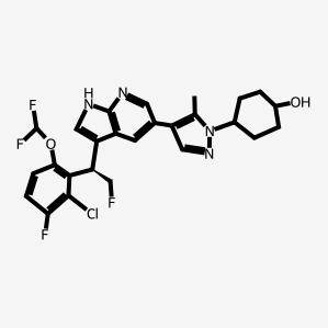 Cc1c(-c2cnc3[nH]cc([C@@H](CF)c4c(OC(F)F)ccc(F)c4Cl)c3c2)cnn1C1CCC(O)CC1